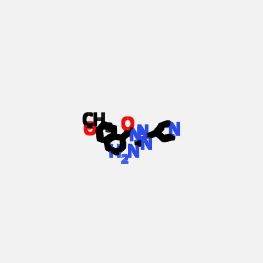 COc1ccc2c(c1)CCCC2C(=O)n1nc(-c2ccncc2)nc1N